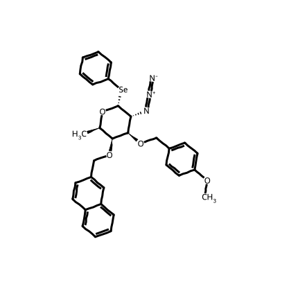 COc1ccc(CO[C@@H]2[C@@H](N=[N+]=[N-])[C@@H]([Se]c3ccccc3)O[C@H](C)[C@@H]2OCc2ccc3ccccc3c2)cc1